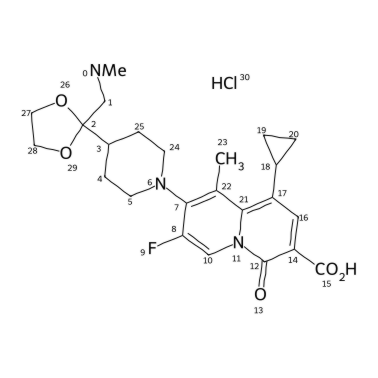 CNCC1(C2CCN(c3c(F)cn4c(=O)c(C(=O)O)cc(C5CC5)c4c3C)CC2)OCCO1.Cl